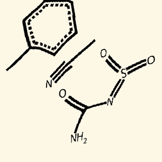 CC#N.Cc1ccccc1.NC(=O)N=S(=O)=O